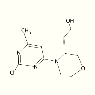 Cc1cc(N2CCOC[C@H]2CCO)nc(Cl)n1